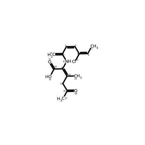 C=C(/C=C\C(Cl)=C/C)N/C(C(=O)O)=C(\C)CC(C)=O